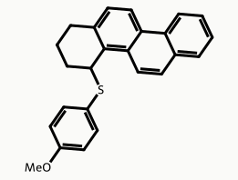 COc1ccc(SC2CCCc3ccc4c(ccc5ccccc54)c32)cc1